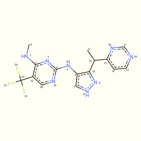 CNc1nc(Nc2c[nH]nc2C(C)c2ccncn2)ncc1C(F)(F)F